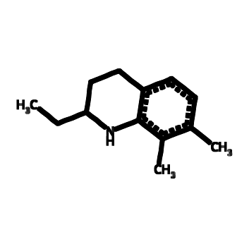 CCC1CCc2ccc(C)c(C)c2N1